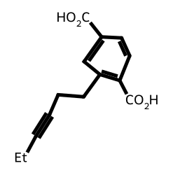 CCC#CCCc1cc(C(=O)O)ccc1C(=O)O